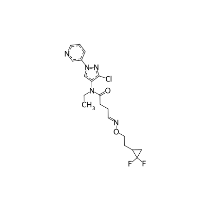 CCN(C(=O)CCC=NOCCC1CC1(F)F)c1cn(-c2cccnc2)nc1Cl